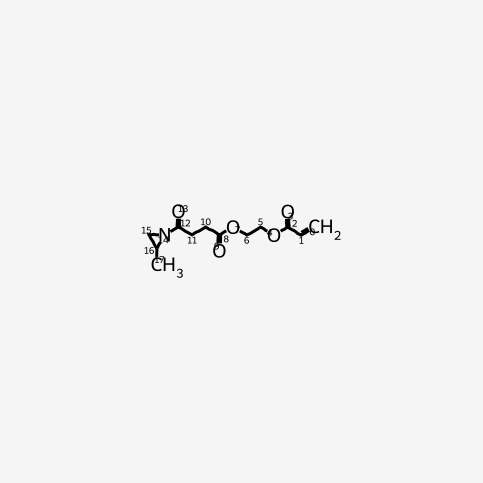 C=CC(=O)OCCOC(=O)CCC(=O)N1CC1C